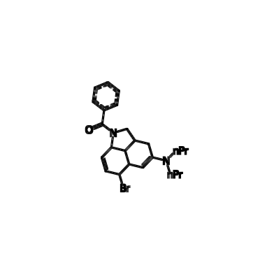 CCCN(CCC)C1=CC2C(Br)C=CC3C2C(C1)CN3C(=O)c1ccccc1